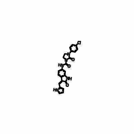 O=C1Nc2cc(NC(=O)N3CCN(c4ccc(Cl)cc4)C3=O)ccc2C1=Cc1ccc[nH]1